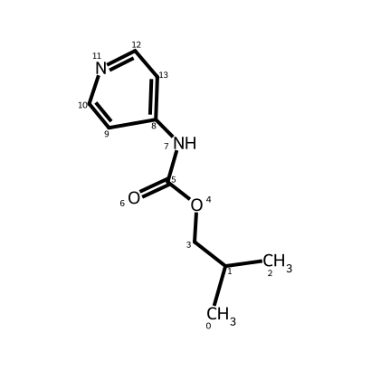 CC(C)COC(=O)Nc1ccncc1